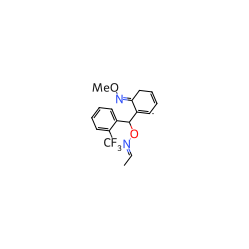 CC=NOC(C1=[C]C=CCC1=NOC)c1ccccc1C(F)(F)F